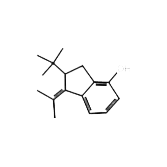 CC(C)=C1c2cccc(O)c2CC1C(C)(C)C